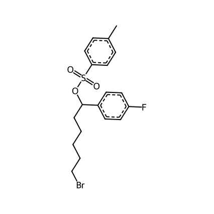 Cc1ccc(S(=O)(=O)OC(CCCCCBr)c2ccc(F)cc2)cc1